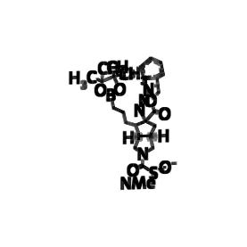 CN[S+]([O-])C(=O)N1C[C@@H]2CC(N=[N+]=[N-])(C(=O)OCc3ccccc3)C(CCCB3OC(C)(C)C(C)(C)O3)[C@@H]2C1